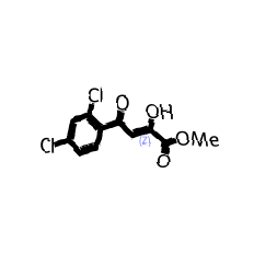 COC(=O)/C(O)=C/C(=O)c1ccc(Cl)cc1Cl